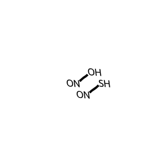 O=NO.O=NS